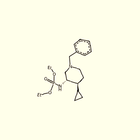 CCOP(=O)(N[C@@H]1CN(Cc2ccccc2)CC[C@H]1C1CC1)OCC